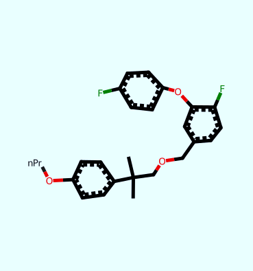 CCCOc1ccc(C(C)(C)COCc2ccc(F)c(Oc3ccc(F)cc3)c2)cc1